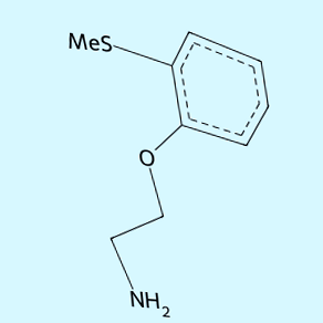 CSc1ccccc1OCCN